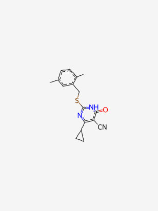 Cc1ccc(C)c(CSc2nc(C3CC3)c(C#N)c(=O)[nH]2)c1